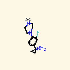 CC(=O)N1CCN(c2ccc(C3(N)CC3)cc2F)CC1